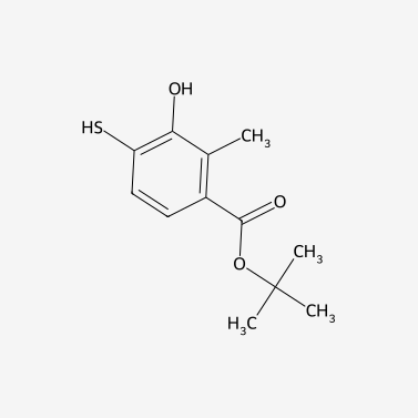 Cc1c(C(=O)OC(C)(C)C)ccc(S)c1O